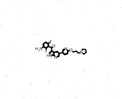 Nc1ccc(F)c(C(=O)c2c[nH]c3ncc(-c4ccc(OCCCN5CCCC5)nc4)cc23)c1F